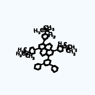 C[Si](C)(C)c1ccc(-c2cc(-c3ccc([Si](C)(C)C)cc3)c3ccc4c(-c5cc(-c6ccccc6)cc(-c6ccccc6)c5)cc(-c5ccc([Si](C)(C)C)cc5)c5ccc2c3c54)cc1